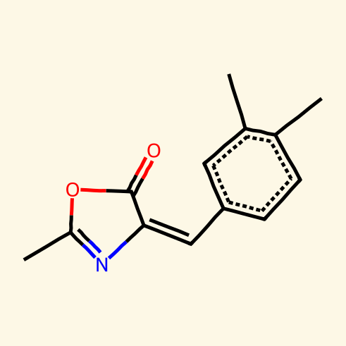 CC1=NC(=Cc2ccc(C)c(C)c2)C(=O)O1